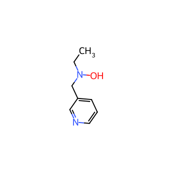 CCN(O)Cc1cccnc1